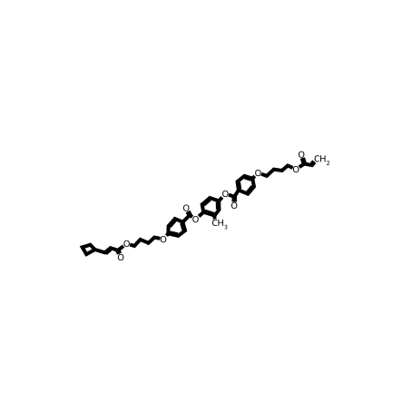 C=CC(=O)OCCCCOc1ccc(C(=O)Oc2ccc(OC(=O)c3ccc(OCCCCOC(=O)/C=C/C4CCC4)cc3)c(C)c2)cc1